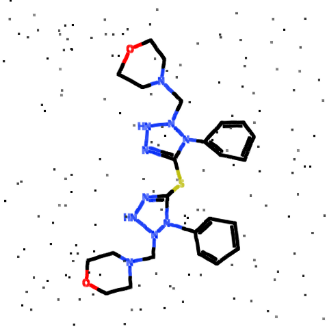 c1ccc(N2C(SC3=NNN(CN4CCOCC4)N3c3ccccc3)=NNN2CN2CCOCC2)cc1